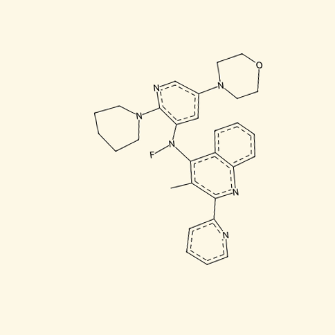 Cc1c(-c2ccccn2)nc2ccccc2c1N(F)c1cc(N2CCOCC2)cnc1N1CCCCC1